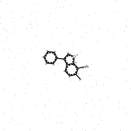 CCCc1c(C)ccc2c(-c3ccccc3)coc12